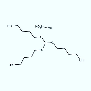 O=S(=O)(O)O.OCCCCON(OCCCCO)OCCCCO